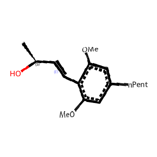 CCCCCc1cc(OC)c(/C=C/[C@H](C)O)c(OC)c1